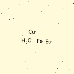 O.[Cu].[Eu].[Fe]